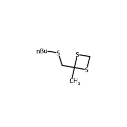 CCCCSCC1(C)SCS1